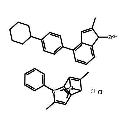 CC1=C2c3c(cc(C)n3-c3ccccc3)C1[Si]2(C)C.CC1=Cc2c(-c3ccc(C4CCCCC4)cc3)cccc2[CH]1[Zr+2].[Cl-].[Cl-]